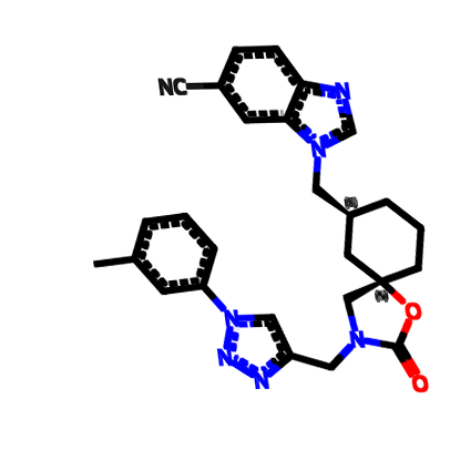 Cc1cccc(-n2cc(CN3C[C@@]4(CCC[C@H](Cn5cnc6ccc(C#N)cc65)C4)OC3=O)nn2)c1